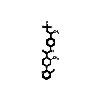 CC(CC(F)(F)F)c1ccc(NC(=O)N2CCN(c3ncccc3F)C[C@H]2C)cc1